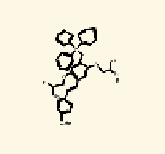 CCCCC(CC)COc1cc(C[P+](c2ccccc2)(c2ccccc2)c2ccccc2)c(OCC(CC)CCCC)cc1/C=C/c1ccc(OC)cc1.[Br-]